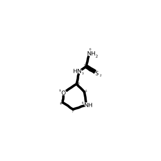 NC(=S)NC1CNCCO1